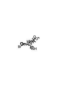 CCOC(=O)c1sc(Nc2nc(NCc3cccc(Br)c3)cc(N3CCNCC3)n2)nc1C